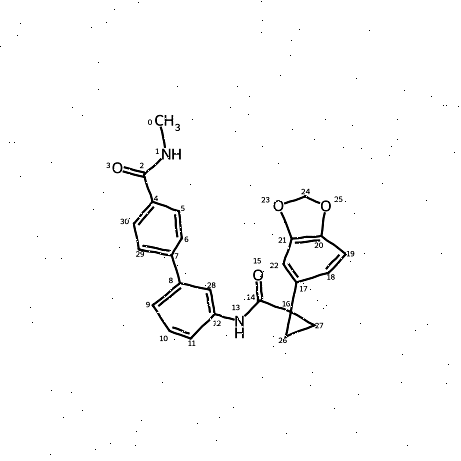 CNC(=O)c1ccc(-c2cccc(NC(=O)C3(c4ccc5c(c4)OCO5)CC3)c2)cc1